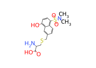 CN(C)S(=O)(=O)c1ccc(O)c2cc(CSCC(N)C(=O)O)ccc12